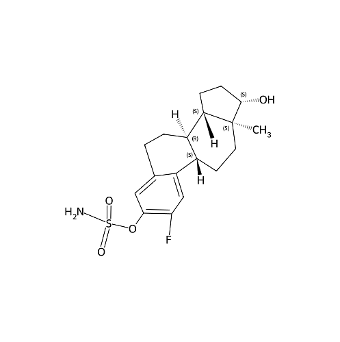 C[C@]12CC[C@@H]3c4cc(F)c(OS(N)(=O)=O)cc4CC[C@H]3[C@@H]1CC[C@@H]2O